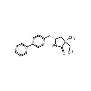 C[C@@]1(CO)C[C@@H](Cc2ccc(-c3ccccc3)cc2)NC1=O